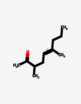 CCC/C(C)=C/CC(C)C(C)=O